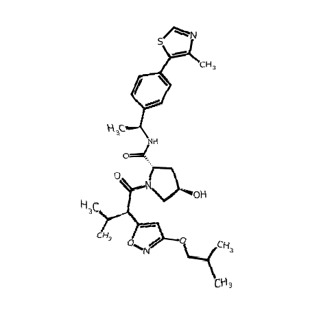 Cc1ncsc1-c1ccc([C@H](C)NC(=O)[C@@H]2C[C@@H](O)CN2C(=O)[C@@H](c2cc(OCC(C)C)no2)C(C)C)cc1